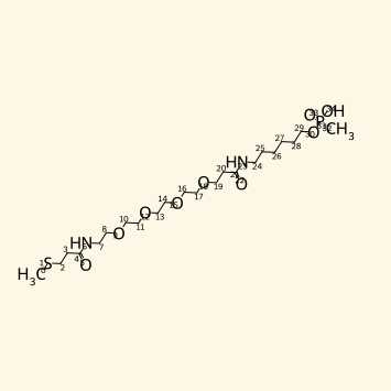 CSCCC(=O)NCCOCCOCCOCCOCCC(=O)NCCCCCCOP(C)(=O)O